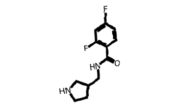 O=C(NCC1CCNC1)c1ccc(F)cc1F